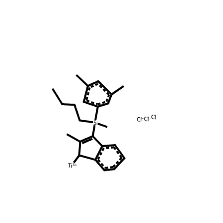 CCCC[Si](C)(C1=C(C)[CH]([Ti+3])c2ccccc21)c1cc(C)cc(C)c1.[Cl-].[Cl-].[Cl-]